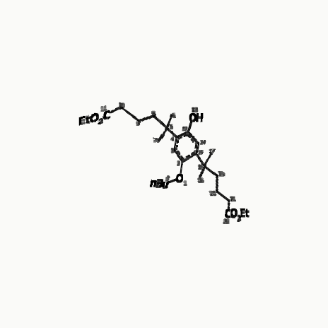 CCCCOc1cc(C(C)(C)CCCC(=O)OCC)c(O)cc1C(C)(C)CCCC(=O)OCC